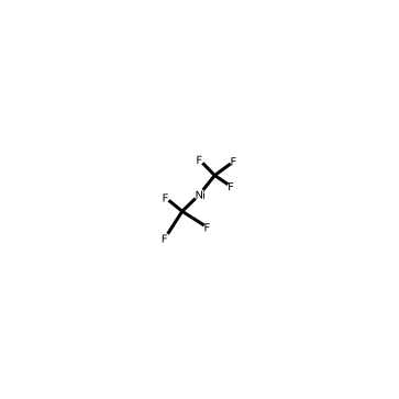 F[C](F)(F)[Ni][C](F)(F)F